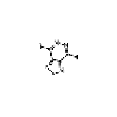 Ic1nnc(I)c2nsnc12